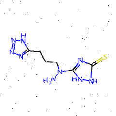 NN(CCCc1nnn[nH]1)c1nc(=S)[nH][nH]1